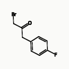 O=C(CBr)Cc1ccc(F)cc1